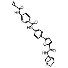 O=C(Nc1ccc(-c2ccc(C(=O)NC3CN4CCC3CC4)o2)cc1)c1ccc(NC(=O)C2CC2)cc1